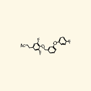 CC(=O)CCc1cc(F)c(OCc2cccc(Oc3ccc(F)cc3)c2)c(F)c1